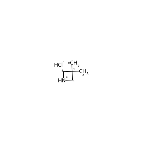 CC1(C)CNC1.Cl